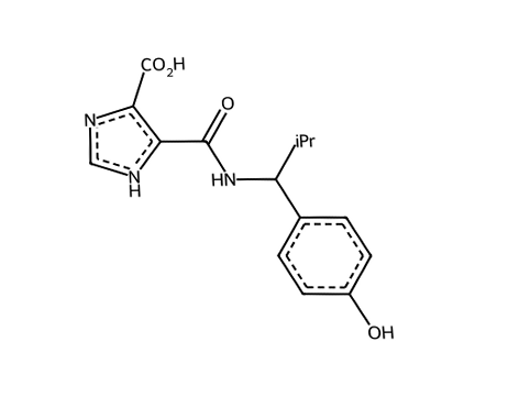 CC(C)C(NC(=O)c1[nH]cnc1C(=O)O)c1ccc(O)cc1